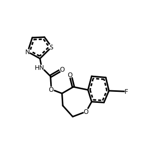 O=C(Nc1nccs1)OC1CCOc2cc(F)ccc2C1=O